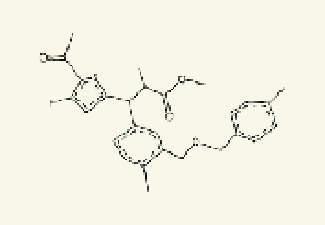 COC(=O)C(C)C(c1ccc(C)c(COCc2ccc(C)cc2)c1)c1cc(F)c(C(C)=O)s1